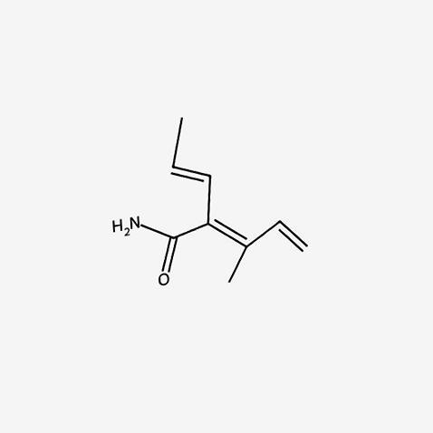 C=C/C(C)=C(\C=C\C)C(N)=O